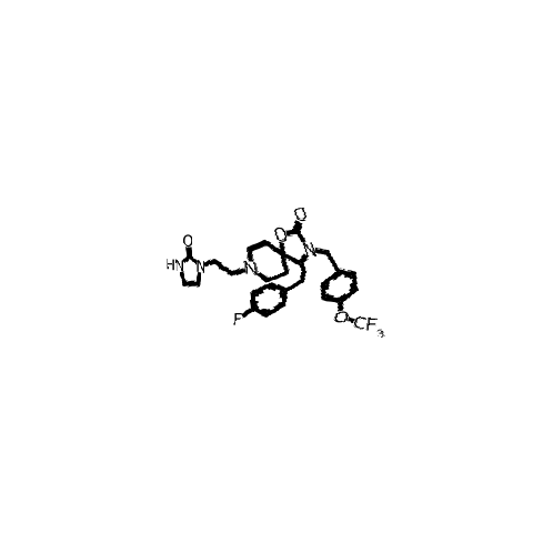 O=C1NCCN1CCN1CCC2(CC1)OC(=O)N(Cc1ccc(OC(F)(F)F)cc1)C2Cc1ccc(F)cc1